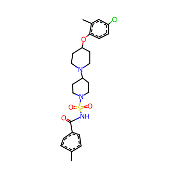 Cc1ccc(C(=O)NS(=O)(=O)N2CCC(N3CCC(Oc4ccc(Cl)cc4C)CC3)CC2)cc1